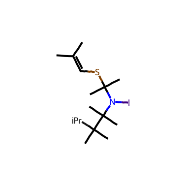 CC(C)=CSC(C)(C)N(I)C(C)(C)C(C)(C)C(C)C